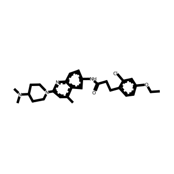 CCOc1ccc(CCC(=O)Nc2ccc3nc(N4CCC(N(C)C)CC4)cc(C)c3c2)c(Cl)c1